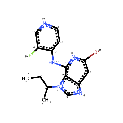 CCC(C)n1cnc2cc(Br)nc(Nc3ccncc3F)c21